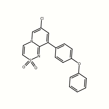 O=S1(=O)C=CN2C=C(Cl)C=C(c3ccc(Oc4ccccc4)cc3)C2=N1